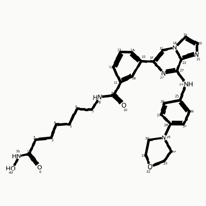 O=C(CCCCCCNC(=O)c1cccc(-c2cn3ccnc3c(Nc3ccc(N4CCOCC4)cc3)n2)c1)NO